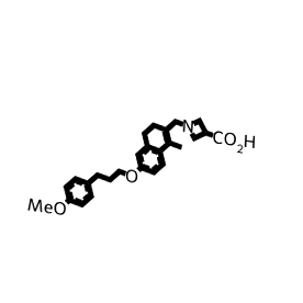 COc1ccc(CCCOc2ccc3c(c2)CCC(CN2CC(C(=O)O)C2)=C3C)cc1